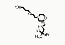 CCCC(C)(CC)CNC[C@@H]1CN(CCOCCCC(C)(C)C)CCO1